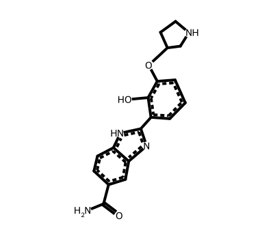 NC(=O)c1ccc2[nH]c(-c3cccc(OC4CCNC4)c3O)nc2c1